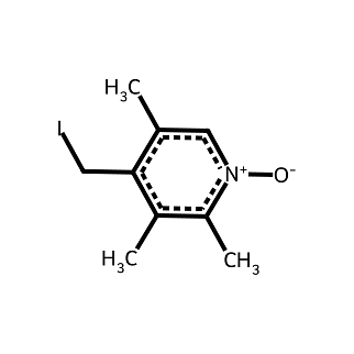 Cc1c[n+]([O-])c(C)c(C)c1CI